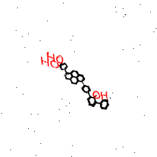 Oc1c(-c2ccccc2)cccc1-c1ccc(-c2ccc3ccc4c(C5=CC6C=CC5C(O)C6O)ccc5ccc2c3c54)cc1